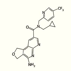 Nc1nc2ncc(C(=O)N(Cc3ccc(C(F)(F)F)cn3)CC3CC3)cc2c2c1COC2